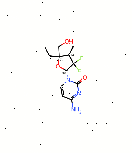 CC[C@]1(CO)O[C@@H](n2ccc(N)nc2=O)C(F)(F)[C@@H]1C